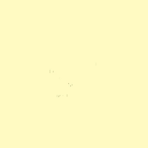 [CH2]CC(CCCCCCCCC)(c1cccc(F)c1)[N+](=O)[O-]